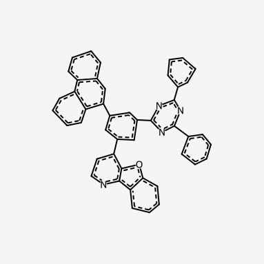 c1ccc(-c2nc(-c3ccccc3)nc(-c3cc(-c4cc5ccccc5c5ccccc45)cc(-c4ccnc5c4oc4ccccc45)c3)n2)cc1